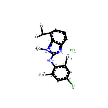 CCC(CC)c1cccc2nc(Nc3c(C)cc(Br)cc3OC)n(C)c12.Cl